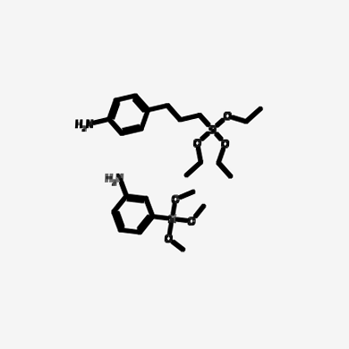 CCO[Si](CCCc1ccc(N)cc1)(OCC)OCC.CO[Si](OC)(OC)c1cccc(N)c1